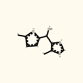 Cc1ccc(C(O)c2scnc2C)o1